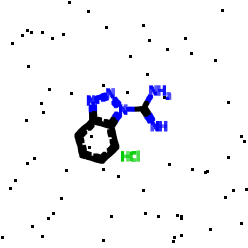 Cl.N=C(N)n1nnc2ccccc21